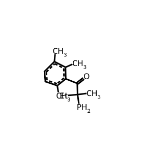 CCC(C)(P)C(=O)c1c(C)ccc(C)c1C